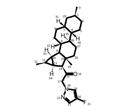 C[C@H]1CC[C@H]2[C@H](CC[C@H]3C4[C@@H]5[C@H](C)[C@@H]5[C@H](C(=O)Cn5cc(F)cn5)[C@@]4(C)CC[C@H]23)C1